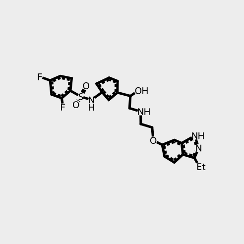 CCc1n[nH]c2cc(OCCNCC(O)c3cccc(NS(=O)(=O)c4ccc(F)cc4F)c3)ccc12